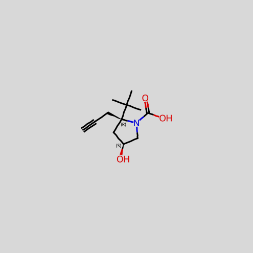 C#CC[C@]1(C(C)(C)C)C[C@H](O)CN1C(=O)O